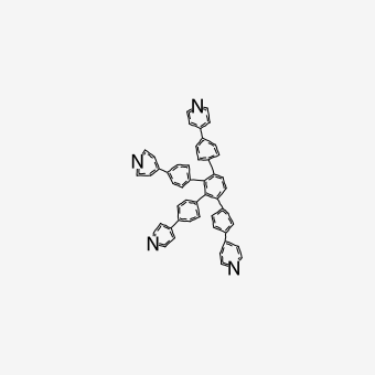 c1cc(-c2ccc(-c3ccc(-c4ccc(-c5ccncc5)cc4)c(-c4ccc(-c5ccncc5)cc4)c3-c3ccc(-c4ccncc4)cc3)cc2)ccn1